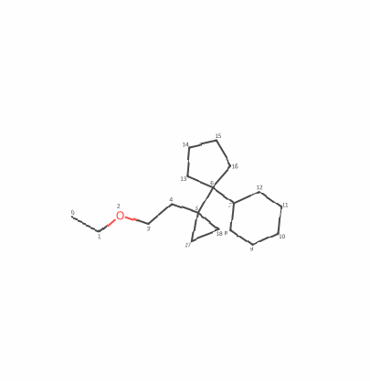 CCOCCC1(C2(C3CCCCC3)CCCC2)CC1